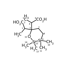 CC(C(=O)O)C1(C(C)C(=O)O)CC[Si](C)(C)[Si](C)(C)O1